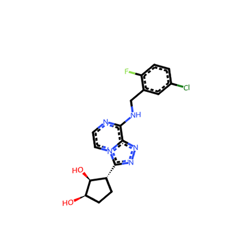 O[C@@H]1[C@H](O)CC[C@H]1c1nnc2c(NCc3cc(Cl)ccc3F)nccn12